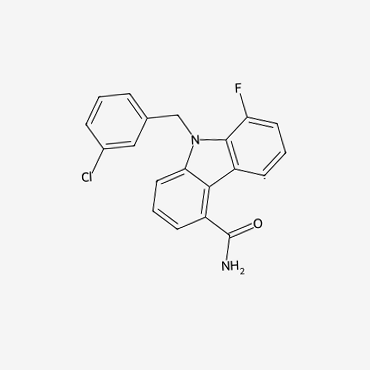 NC(=O)c1cccc2c1c1[c]ccc(F)c1n2Cc1cccc(Cl)c1